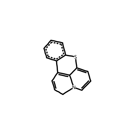 C1=CN2CC=CC3=C2C(=C1)Sc1ccccc13